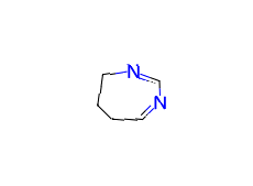 C1=NC=NCCC1